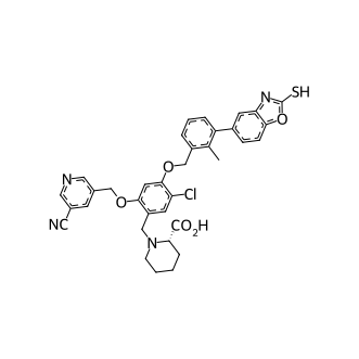 Cc1c(COc2cc(OCc3cncc(C#N)c3)c(CN3CCCC[C@H]3C(=O)O)cc2Cl)cccc1-c1ccc2oc(S)nc2c1